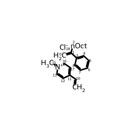 C=C(CCCCCCCC)c1ccccc1.C=Cc1cc[n+](C)cc1.[Cl-]